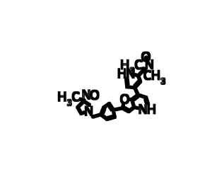 CC1(N=O)CCN(Cc2ccc(C3=CC4NC=CC(C5=CC(C(C)(C)N=O)NC=C5)=C4O3)cc2)C1